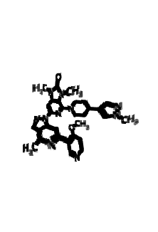 COc1ccncc1-c1cc2c(cnn2-c2cc3c(c(N4CCC(c5cnn(C)c5)CC4)n2)n(C)c(=O)n3C)c(C)n1